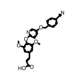 COc1cc(C=CC(=O)O)cc(OC)c1Oc1ccc(OCc2ccc(C#N)cc2)cn1